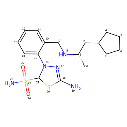 C[C@@H](CC1CCCC1)NCc1ccccc1N1N=C(N)SC1S(N)(=O)=O